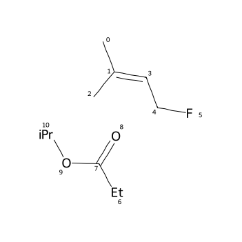 CC(C)=CCF.CCC(=O)OC(C)C